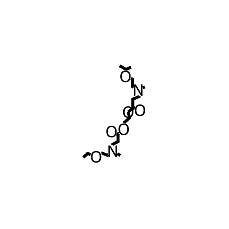 CCOCCN(C)CCC(=O)OCCOC(=O)CCN(C)CCOC(C)C